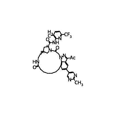 CC(=O)c1nn2c3c(cc(-c4cnc(C)nc4)cc13)CCCCCCC(=O)NCC[C@@]1(F)C[C@@H](C(=O)Nc3nc(C(F)(F)F)ccc3C)N(C1)C(=O)C2